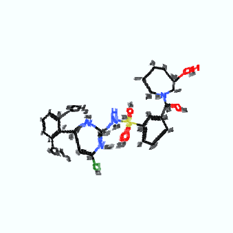 Cc1cccc(C)c1-c1cc(Cl)nc(NS(=O)(=O)c2cccc(C(=O)N3CCCCC(O)C3)c2)n1